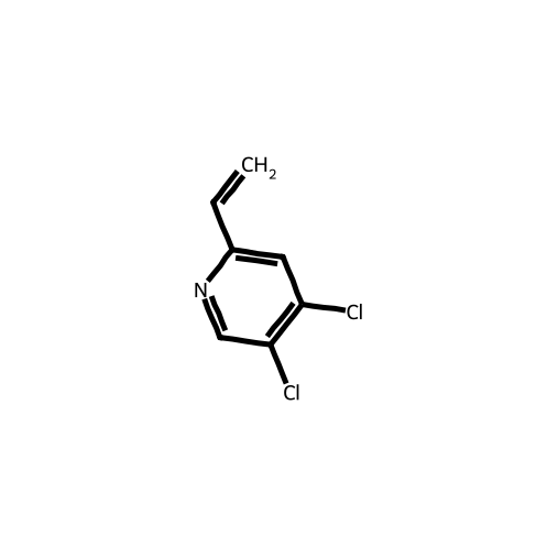 C=Cc1cc(Cl)c(Cl)cn1